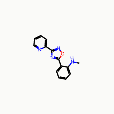 CNc1ccccc1-c1nc(-c2ccccn2)no1